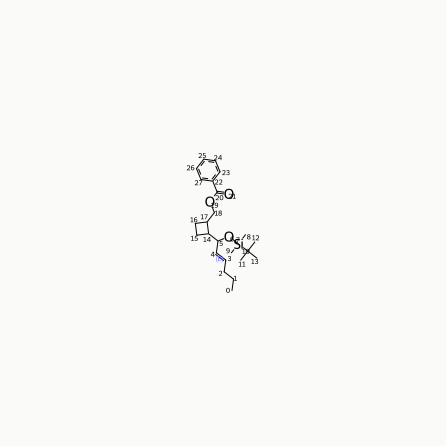 CCC/C=C/C(O[Si](C)(C)C(C)(C)C)C1CCC1COC(=O)c1ccccc1